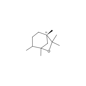 CC1CC[C@@]2(C)CC1(C)OC2(C)C